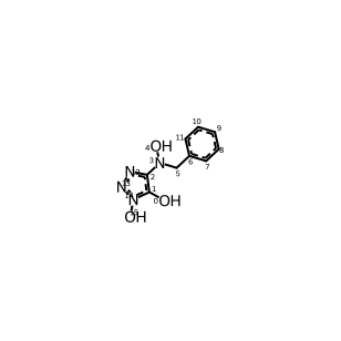 Oc1c(N(O)Cc2ccccc2)nnn1O